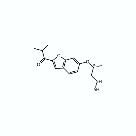 CC(C)C(=O)c1cc2ccc(O[C@H](C)CNS)cc2o1